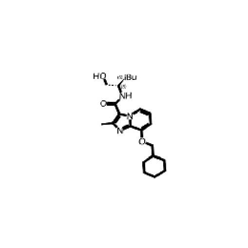 CC[C@H](C)[C@@H](CO)NC(=O)c1c(C)nc2c(OCC3CCCCC3)cccn12